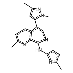 Cc1ccc2c(-c3cc(C)nn3C)cnc(Nc3csc(C)n3)c2n1